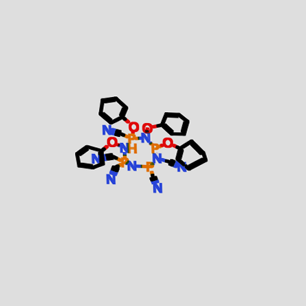 N#CN1P(C#N)N=P(C#N)(C#N)N(Oc2ccccc2)[PH](C#N)(Oc2ccccc2)N(Oc2ccccc2)P1Oc1ccccc1